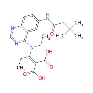 CCC(=C(C(=O)O)C(=O)O)N(CC)c1ncnc2ccc(NC(=O)CC(C)(C)C)cc12